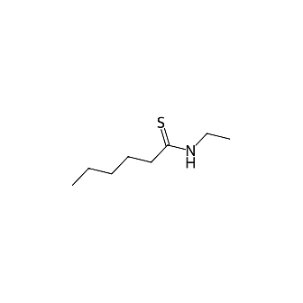 CCCCCC(=S)NCC